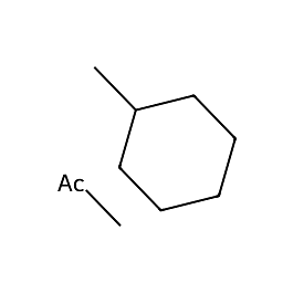 CC(C)=O.CC1CCCCC1